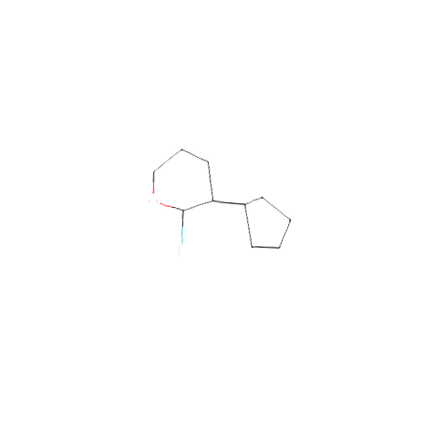 FC1OC[CH]CC1C1CCCC1